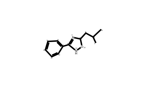 CC(C)CC1N=C(c2ccccc2)NO1